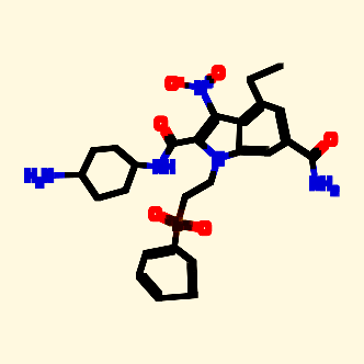 CCc1cc(C(N)=O)cc2c1c([N+](=O)[O-])c(C(=O)NC1CCC(N)CC1)n2CCS(=O)(=O)c1ccccc1